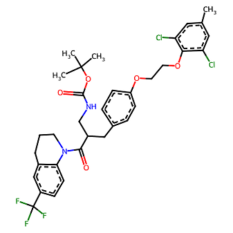 Cc1cc(Cl)c(OCCOc2ccc(CC(CNC(=O)OC(C)(C)C)C(=O)N3CCCc4cc(C(F)(F)F)ccc43)cc2)c(Cl)c1